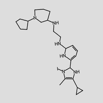 CC1=C(C2CC2)NC(C2=CC=CC(NCCNC3CCCN(C4CCCC4)C3)N2)N1I